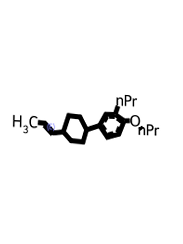 C/C=C/C1CCC(c2ccc(OCCC)c(CCC)c2)CC1